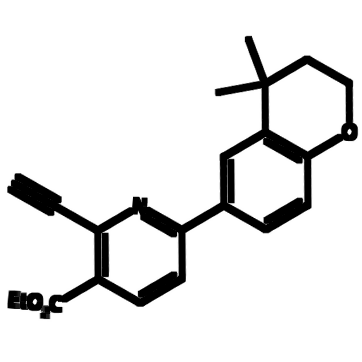 C#Cc1nc(-c2ccc3c(c2)C(C)(C)CCO3)ccc1C(=O)OCC